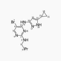 CC(C)CNc1ncc(Br)c(Nc2cc(C3CC3)[nH]n2)n1